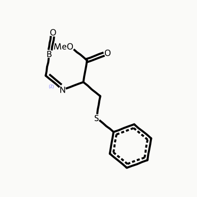 COC(=O)C(CSc1ccccc1)/N=C\B=O